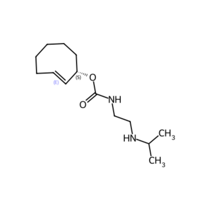 CC(C)NCCNC(=O)O[C@@H]1/C=C/CCCCC1